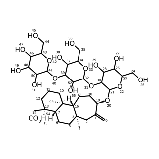 C=C1C[C@@]2(C)CC[C@H]3[C@@](C)(CCC[C@@]3(C)C(=O)O)[C@@H]2CC[C@H]1OC1OC(CO)C(O)C(O)C1OC1OC(CO)C(O)C(OC2OC(CO)C(O)C(O)C2O)C1O